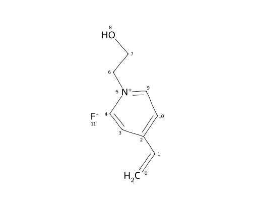 C=Cc1cc[n+](CCO)cc1.[F-]